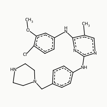 COc1cc(Nc2nc(Nc3ccc(CN4CCNCC4)cc3)ncc2C)ccc1Cl